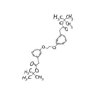 CC(C)(C)OC(=O)Cc1cccc(OCCOc2cccc(CC(=O)OC(C)(C)C)c2)c1